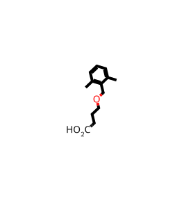 Cc1cccc(C)c1COCCCC(=O)O